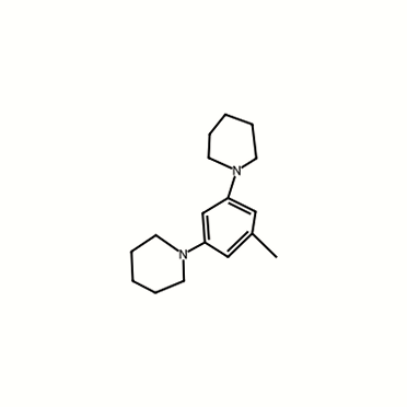 Cc1cc(N2CCCCC2)cc(N2CCCCC2)c1